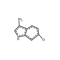 Pc1c[nH]c2cc(Cl)ccc12